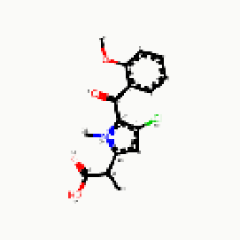 COc1ccccc1C(=O)c1c(Cl)cc(C(C)C(=O)O)n1C